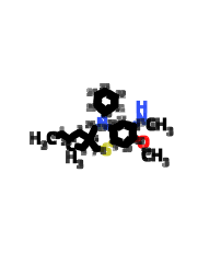 CCCCC1(CC)CSc2cc(OC)c(NC)cc2N(c2ccccc2)C1